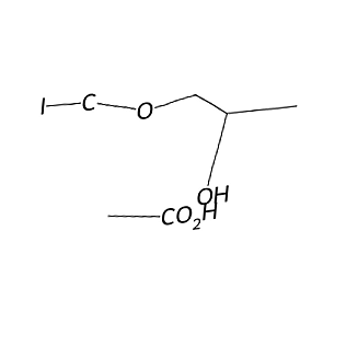 CC(=O)O.CC(O)COCI